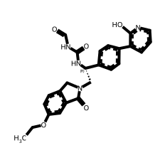 CCOc1ccc2c(c1)C(=O)N(C[C@H](NC(=O)NC=O)c1ccc(-c3cccnc3O)cc1)C2